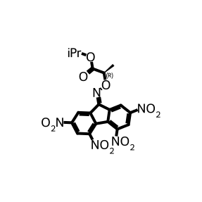 CC(C)OC(=O)[C@@H](C)ON=C1c2cc([N+](=O)[O-])cc([N+](=O)[O-])c2-c2c1cc([N+](=O)[O-])cc2[N+](=O)[O-]